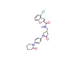 O=C(NCC1CC(=O)N(c2ccc(N3CCCCC3=O)cc2)C1)c1cc2c(Cl)cccc2o1